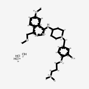 COCc1nnc(NC2CCN(Cc3ccc(OCCCN(C)C)c(F)c3)CC2)c2cc(OC)ccc12.Cl.Cl.Cl